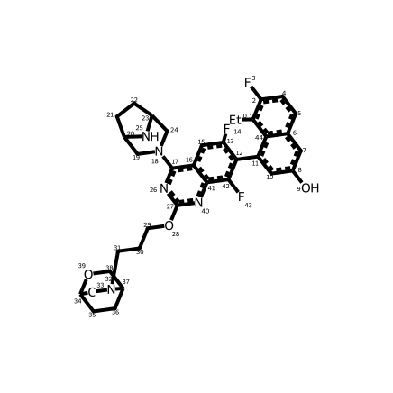 CCc1c(F)ccc2cc(O)cc(-c3c(F)cc4c(N5CC6CCC(C5)N6)nc(OCCCN5CC6CCC5CO6)nc4c3F)c12